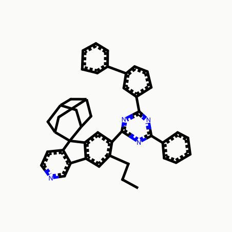 CCCc1cc2c(cc1-c1nc(-c3ccccc3)nc(-c3cccc(-c4ccccc4)c3)n1)C1(c3ccncc3-2)C2CC3CC(C2)CC1C3